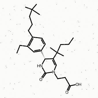 CCCC(C)(C)C1=CN(CCC(=O)O)C(=O)N[C@@H]1c1ccc(CCCC(C)(C)C)c(CC)c1